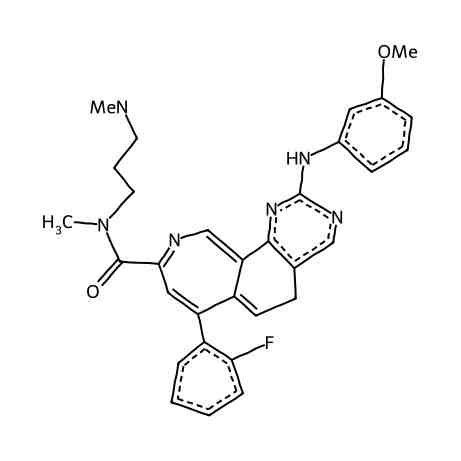 CNCCCN(C)C(=O)C1=NC=C2C(=CCc3cnc(Nc4cccc(OC)c4)nc32)C(c2ccccc2F)=C1